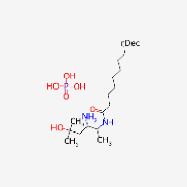 CCCCCCCCCCCCCCCCCC(=O)NC(C)C(N)CC(C)(C)O.O=P(O)(O)O